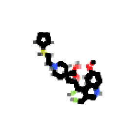 COc1ccc2ncc(CF)c([C@H](F)CCC3(C(=O)O)CCN(CCSC4CCCC4)CC3)c2c1